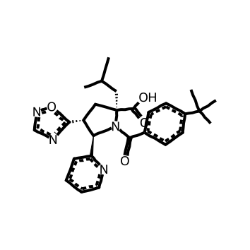 CC(C)C[C@@]1(C(=O)O)C[C@@H](c2ncno2)[C@H](c2ccccn2)N1C(=O)c1ccc(C(C)(C)C)cc1